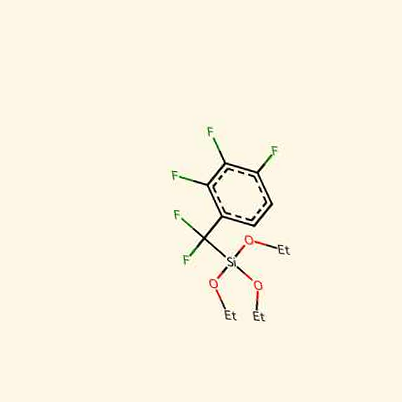 CCO[Si](OCC)(OCC)C(F)(F)c1ccc(F)c(F)c1F